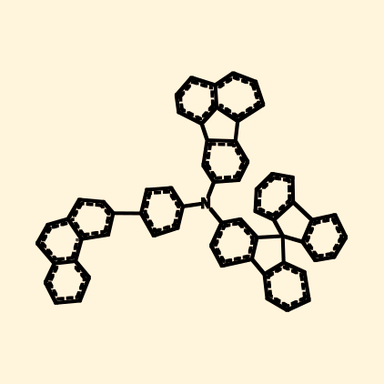 c1ccc2c(c1)-c1ccccc1C21c2ccccc2-c2ccc(N(c3ccc(-c4ccc5ccc6ccccc6c5c4)cc3)c3ccc4c(c3)-c3cccc5cccc-4c35)cc21